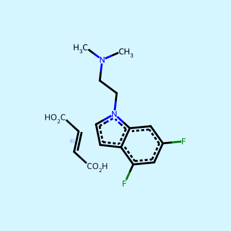 CN(C)CCn1ccc2c(F)cc(F)cc21.O=C(O)/C=C/C(=O)O